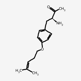 CC(=O)[C@@H](N)Cc1ccc(OCCC=C(C)C)cc1